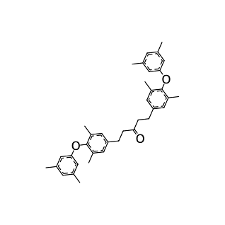 Cc1cc(C)cc(Oc2c(C)cc(CCC(=O)CCc3cc(C)c(Oc4cc(C)cc(C)c4)c(C)c3)cc2C)c1